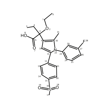 CCOC(CC)(C(=O)O)c1cc(-c2ccc(S(C)(=O)=O)cc2)n(-c2cccc(F)c2)c1C